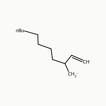 [CH]=CC([CH2])CCCCCCCC